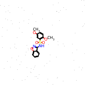 COc1ccc(OC)c(S(=O)(=O)Nc2noc3ccccc23)c1